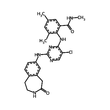 CNC(=O)c1cc(C)cc(C)c1Nc1nc(Nc2ccc3c(c2)CC(=O)NCC3)ncc1Cl